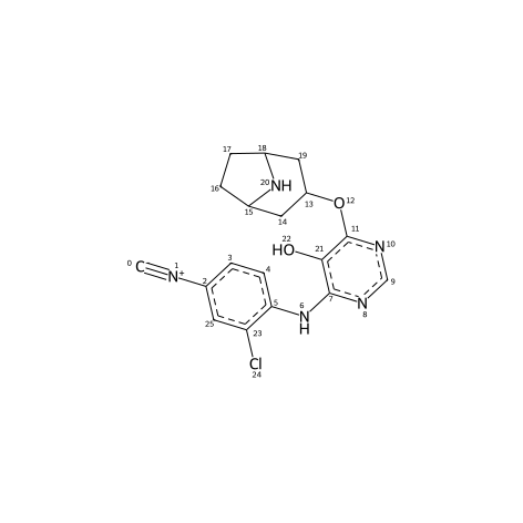 [C-]#[N+]c1ccc(Nc2ncnc(OC3CC4CCC(C3)N4)c2O)c(Cl)c1